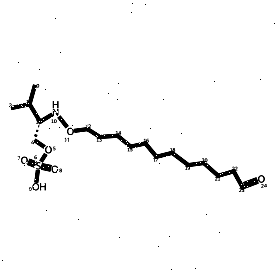 CC(C)[C@@H](COS(=O)(=O)O)NOCCCCCCCCCCCC=O